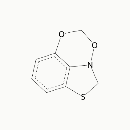 c1cc2c3c(c1)SCN3OCO2